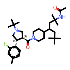 CC(=O)NC(C)(C)CC(CC(C)(C)C)C1CCN(C(=O)[C@@H]2CN(C(C)(C)C)C[C@H]2c2ccc(C)cc2F)CC1